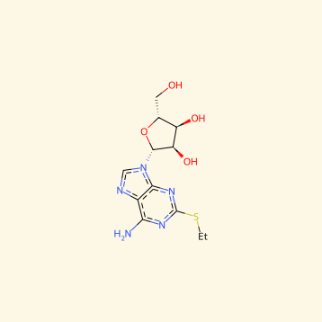 CCSc1nc(N)c2ncn([C@@H]3O[C@H](CO)[C@@H](O)[C@H]3O)c2n1